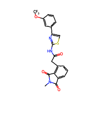 CN1C(=O)c2cccc(CC(=O)Nc3nc(-c4cccc(OC(F)(F)F)c4)cs3)c2C1=O